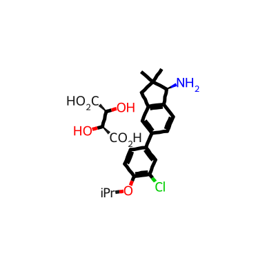 CC(C)Oc1ccc(-c2ccc3c(c2)CC(C)(C)[C@H]3N)cc1Cl.O=C(O)[C@@H](O)[C@H](O)C(=O)O